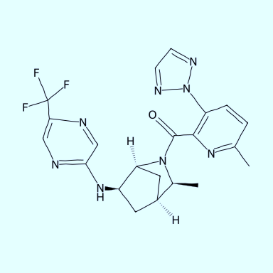 Cc1ccc(-n2nccn2)c(C(=O)N2[C@@H](C)[C@H]3C[C@@H](Nc4cnc(C(F)(F)F)cn4)[C@@H]2C3)n1